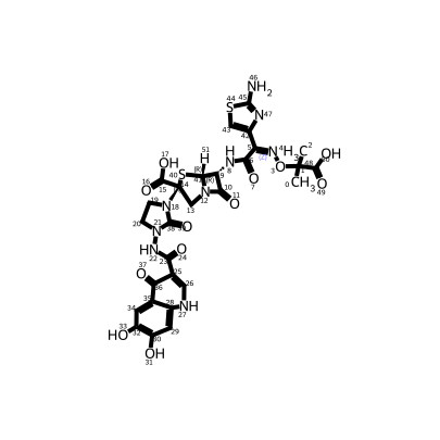 CC(C)(O/N=C(\C(=O)N[C@@H]1C(=O)N2C[C@@](C(=O)O)(N3CCN(NC(=O)c4c[nH]c5cc(O)c(O)cc5c4=O)C3=O)S[C@H]12)c1csc(N)n1)C(=O)O